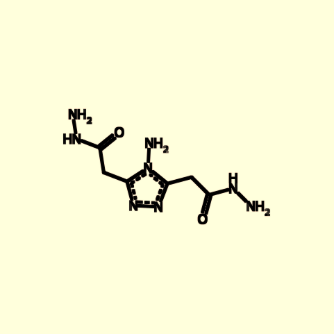 NNC(=O)Cc1nnc(CC(=O)NN)n1N